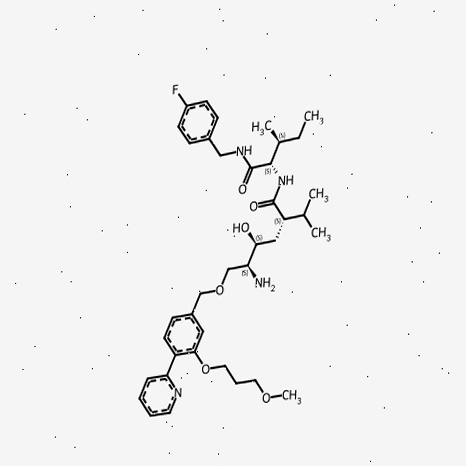 CC[C@H](C)[C@H](NC(=O)[C@@H](C[C@H](O)[C@@H](N)COCc1ccc(-c2ccccn2)c(OCCCOC)c1)C(C)C)C(=O)NCc1ccc(F)cc1